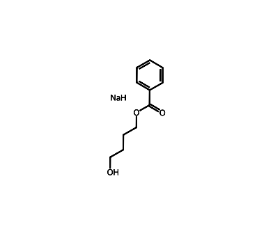 O=C(OCCCCO)c1ccccc1.[NaH]